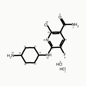 Cl.Cl.NC(=O)c1cc(F)c(NC2CCC(N)CC2)nc1Cl